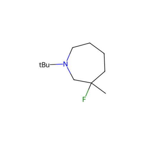 CC1(F)CCCCN(C(C)(C)C)C1